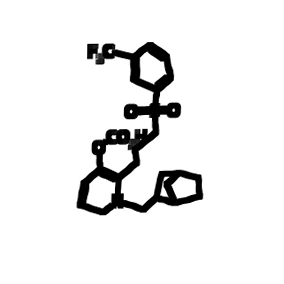 O=C(O)OC1=C(CCCS(=O)(=O)c2cccc(C(F)(F)F)c2)N(CC2CC3CCC2C3)CC=C1